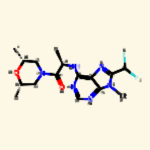 CCn1c(C(F)F)nc2c(N[C@H](C)C(=O)N3C[C@@H](C)O[C@@H](C)C3)ncnc21